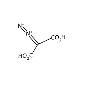 [N-]=[N+]=C(C(=O)O)C(=O)O